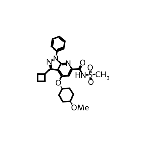 CO[C@H]1CC[C@H](Oc2cc(C(=O)NS(C)(=O)=O)nc3c2c(C2CCC2)nn3-c2ccccc2)CC1